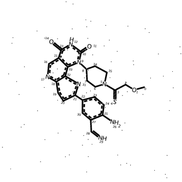 COCC(=S)N1CCC(n2c(=O)[nH]c(=O)c3cnc4ccc(-c5ccc(N)c(C=N)c5)nc4c32)CC1